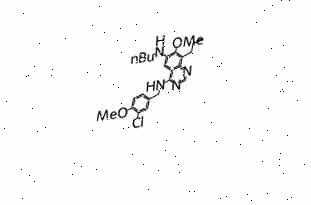 C=CCc1c(OC)c(NCCCC)cc2c(NCc3ccc(OC)c(Cl)c3)ncnc12